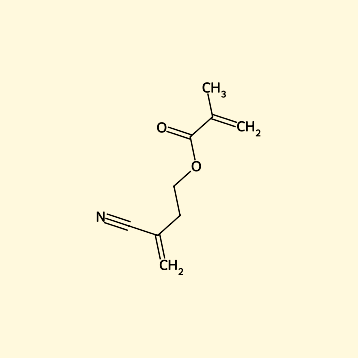 C=C(C#N)CCOC(=O)C(=C)C